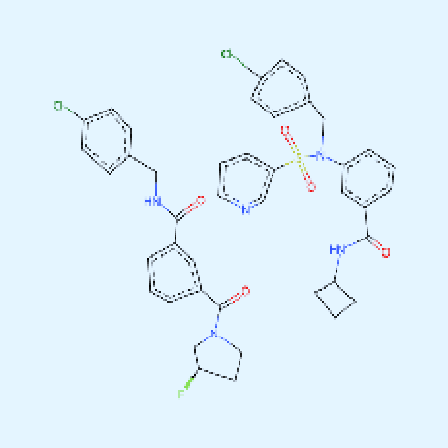 O=C(NC1CCC1)c1cccc(N(Cc2ccc(Cl)cc2)S(=O)(=O)c2cccnc2)c1.O=C(NCc1ccc(Cl)cc1)c1cccc(C(=O)N2CC[C@@H](F)C2)c1